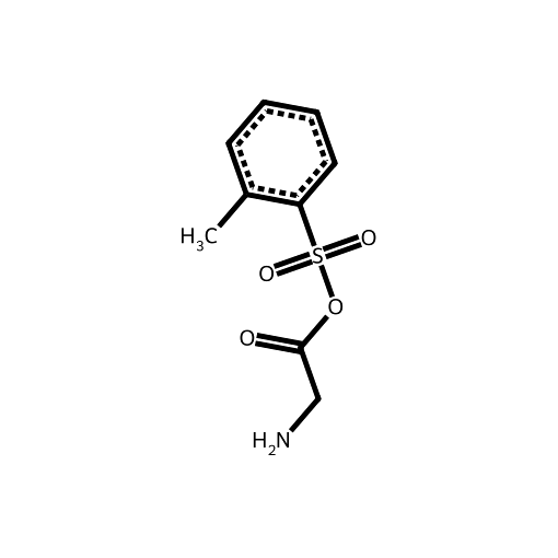 Cc1ccccc1S(=O)(=O)OC(=O)CN